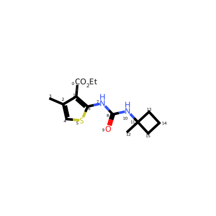 CCOC(=O)c1c(C)csc1NC(=O)NC1(C)CCC1